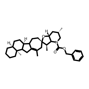 CC1=C2CC3[C@@H](CC[C@@H]4CCCC[C@]34C)C2CC[C@@]2(C1)O[C@@H]1C[C@H](C)CN(C(=O)OCc3ccccc3)C1[C@H]2C